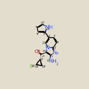 Nc1nc2ccc(-c3ccc[nH]3)cn2c1C(=O)[C@@H]1C[C@@H]1F